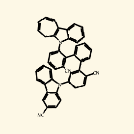 N#CC1=CCC(n2c3ccccc3c3cc(C#N)ccc32)C=C1c1ccccc1-c1c(C#N)cccc1-n1c2c(c3ccccc31)C=CC=CC2